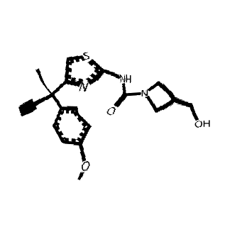 C#C[C@@](C)(c1ccc(OC)cc1)c1csc(NC(=O)N2CC(CO)C2)n1